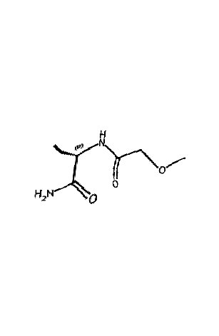 COCC(=O)N[C@H](C)C(N)=O